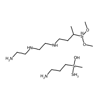 CO[SiH](OC)C(C)CCNCCNCCN.C[Si](O)([SiH3])CCCN